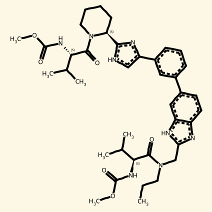 CCCN(Cc1nc2ccc(-c3cccc(-c4c[nH]c([C@@H]5CCCCN5C(=O)[C@@H](NC(=O)OC)C(C)C)n4)c3)cc2[nH]1)C(=O)[C@@H](NC(=O)OC)C(C)C